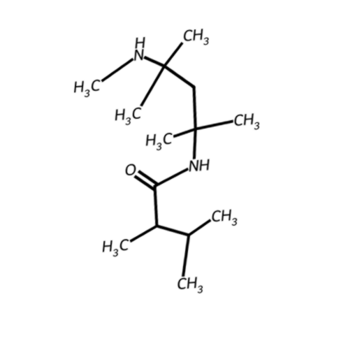 CNC(C)(C)CC(C)(C)NC(=O)C(C)C(C)C